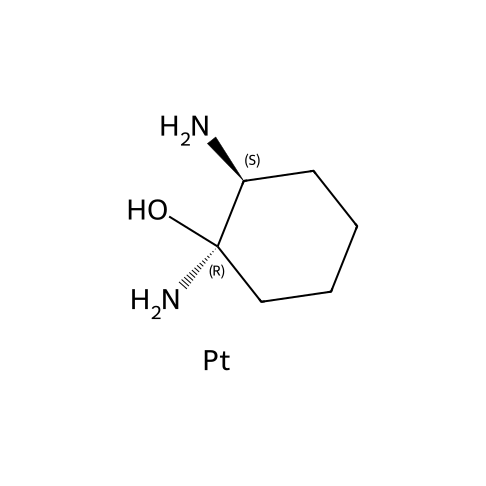 N[C@H]1CCCC[C@@]1(N)O.[Pt]